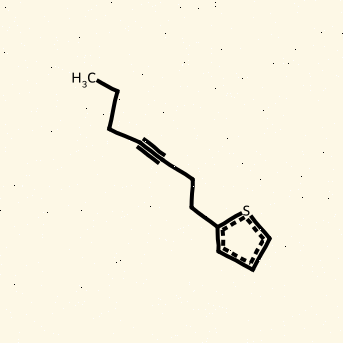 CCCC#CCCc1cccs1